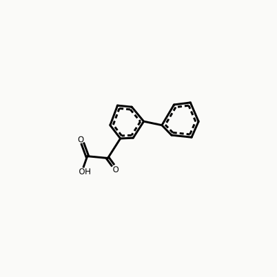 O=C(O)C(=O)c1cccc(-c2ccccc2)c1